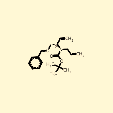 C=CCN(C(=O)OC(C)(C)C)[C@@H](C=C)COCc1ccccc1